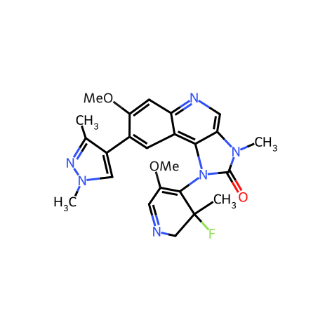 COC1=C(n2c(=O)n(C)c3cnc4cc(OC)c(-c5cn(C)nc5C)cc4c32)C(C)(F)CN=C1